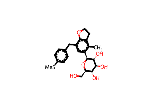 CSc1ccc(Cc2cc([C@@H]3O[C@H](CO)[C@@H](O)[C@H](O)[C@H]3O)c(C)c3c2OCC3)cc1